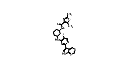 Cc1nc(C(=O)NC2CCCC(Nc3nc(-c4c[nH]c5ncncc45)ncc3F)C2)c(C)o1